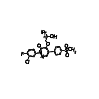 CC(C)[C@@H](O)COc1c(-c2ccc(S(C)(=O)=O)cc2)cnn(-c2ccc(F)c(Cl)c2)c1=O